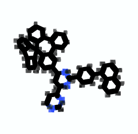 c1ccc2c(c1)-c1ccccc1C1(c3ccc(-c4cc(-c5ccncn5)nc(-c5ccc(-c6cccc7ccccc67)cc5)n4)cc3-2)c2ccccc2-c2ccccc21